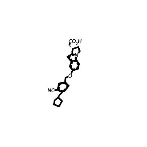 N#Cc1cc(COc2ccc3c(c2)cc2n3CC[C@H]2CC(=O)O)ccc1C1CCCC1